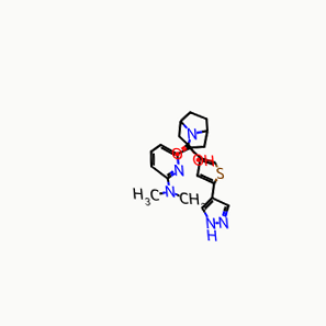 CN(C)c1cccc(C2(O)CC3CCC(C2)N3C(=O)c2csc(-c3cn[nH]c3)c2)n1